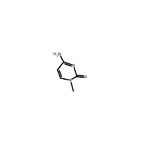 [CH2]n1ccc(N)nc1=O